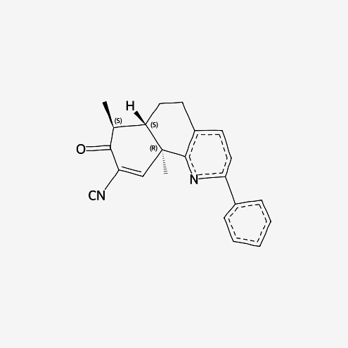 [C-]#[N+]C1=C[C@]2(C)c3nc(-c4ccccc4)ccc3CC[C@H]2[C@H](C)C1=O